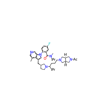 CC(=O)N1C[C@@H]2CN(CCCC(C(C)C)N3CC[C@@H](Cc4cn(-c5ccc(F)cc5C(=O)N(C)C(C)C)c5cncc(C)c45)C3)C[C@H]2C1